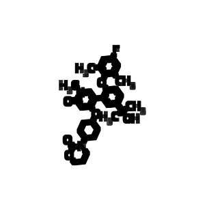 Cc1cc(F)cc(C)c1Oc1ccc(C(C)(C)O)cc1-c1cn(C)c(=O)cc1OC1CCC(N2CCCOC2=O)CC1